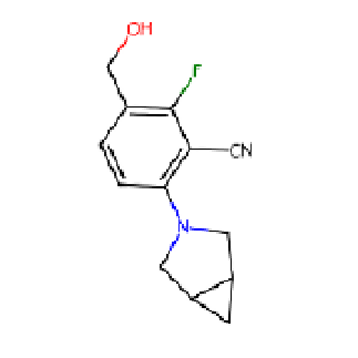 N#Cc1c(N2CC3CC3C2)ccc(CO)c1F